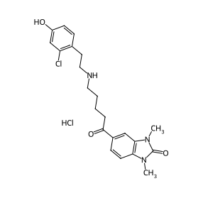 Cl.Cn1c(=O)n(C)c2cc(C(=O)CCCCNCCc3ccc(O)cc3Cl)ccc21